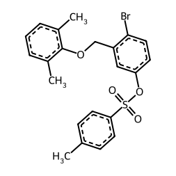 Cc1ccc(S(=O)(=O)Oc2ccc(Br)c(COc3c(C)cccc3C)c2)cc1